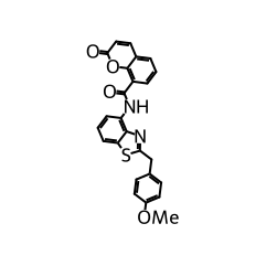 COc1ccc(Cc2nc3c(NC(=O)c4cccc5ccc(=O)oc45)cccc3s2)cc1